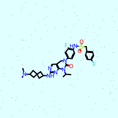 CC(C)N1C(=O)N(c2ccc(NS(=O)(=O)Cc3ccc(F)cc3)c(F)c2)Cc2cnc(NC3CC4(C3)CC(N(C)C)C4)nc21